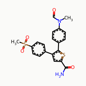 CN(C=O)c1ccc(-c2sc(C(N)=O)cc2-c2ccc(S(C)(=O)=O)cc2)cc1